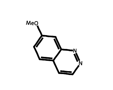 COc1ccc2ccnnc2c1